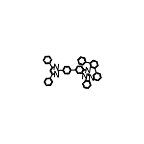 c1ccc(-c2cc(-c3ccccc3)nc(-c3ccc(-c4ccc5c(c4)n4c6ccccc6nc4n5-c4c(-c5ccccc5)cccc4-c4ccccc4)cc3)n2)cc1